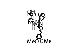 CCOC(=O)C(=NO)c1cnc(Nc2nc(OCCc3ccc(OC)c(OC)c3)nc(N3CCOCC3)n2)s1